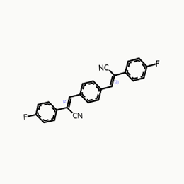 N#C/C(=C\c1ccc(/C=C(\C#N)c2ccc(F)cc2)cc1)c1ccc(F)cc1